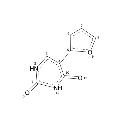 O=c1[nH]cc(-c2ccco2)c(=O)[nH]1